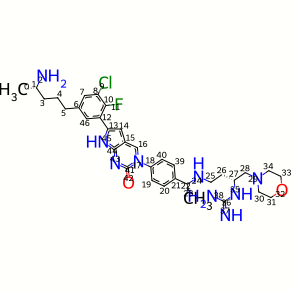 C[C@H](N)CCCc1cc(Cl)c(F)c(-c2cc3cn(-c4ccc([C@H](C)NCC[C@H](CN5CCOCC5)NC(=N)N)cc4)c(=O)nc3[nH]2)c1